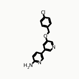 Nc1ccc(-c2cncc(OCc3ccc(Cl)cc3)c2)cn1